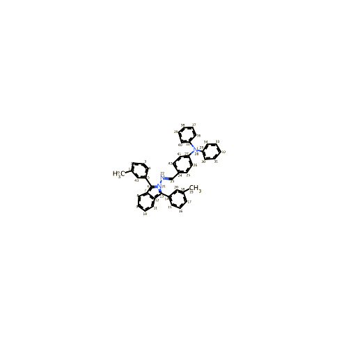 Cc1cccc(-c2c3ccccc3c(-c3cccc(C)c3)n2N=Cc2ccc(N(c3ccccc3)c3ccccc3)cc2)c1